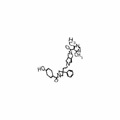 Cc1ncnc(C)c1C(=O)N1CC2=CN(CCC3(c4ccccc4)CN(C(=O)C4CCC(O)CC4)C3)CC2C1